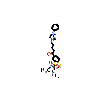 CCN(CC)S(=O)(=O)c1cc(C(=O)CCCCN2CCN(c3ccccc3)CC2)ccc1SC